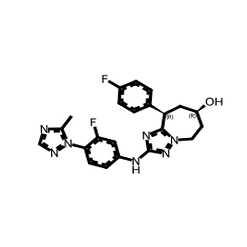 Cc1ncnn1-c1ccc(Nc2nc3n(n2)CC[C@H](O)C[C@@H]3c2ccc(F)cc2)cc1F